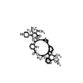 CCn1c(-c2cccnc2[C@H](C)OC)c2c3cc(ccc31)-c1csc(n1)C[C@H](NC(=O)[C@H](C(C)C)N(C)C(=O)N1CCNCC1)C(=O)N1CCC[C@H](N1)C(=O)OCC(C)(C)C2